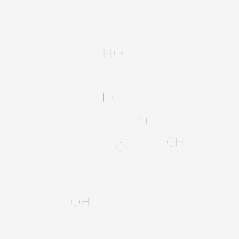 C[Si](C)(Oc1ccccc1O)c1ccccc1O